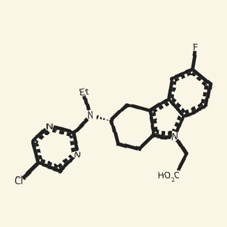 CCN(c1ncc(Cl)cn1)[C@H]1CCc2c(c3cc(F)ccc3n2CC(=O)O)C1